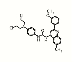 COc1cccc(-c2cc(NC(=O)Nc3ccc(N(CCCl)CCCl)cc3)c3cc(C)ccc3n2)c1